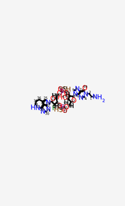 NCCn1cnc2c(ncn2[C@@H]2O[C@@H]3COP(=O)(S)O[C@H]4[C@@H](F)[C@H](n5cc6c7c(ncnc75)NCCC6)O[C@@H]4COP(=O)(S)O[C@@H]2[C@@H]3O)c1=O